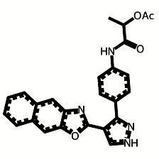 CC(=O)OC(C)C(=O)Nc1ccc(-c2n[nH]cc2-c2nc3cc4ccccc4cc3o2)cc1